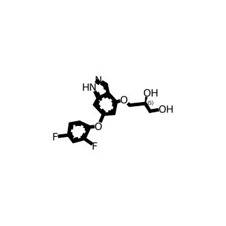 OC[C@H](O)COc1cc(Oc2ccc(F)cc2F)cc2[nH]ncc12